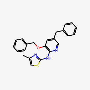 Cc1csc(Nc2ncc(Cc3ccccc3)cc2OCc2ccccc2)n1